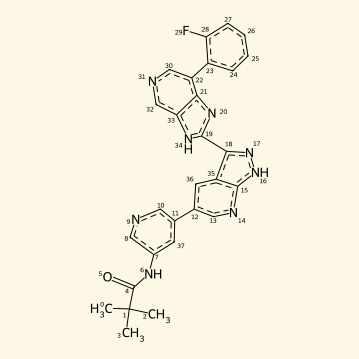 CC(C)(C)C(=O)Nc1cncc(-c2cnc3[nH]nc(-c4nc5c(-c6ccccc6F)cncc5[nH]4)c3c2)c1